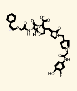 O=C(C[n+]1ccc(CN2CCC(=CC3=C(C(=O)[O-])N4C(=O)[C@@H](NC(=O)CS/C=C\c5ccccc5)[C@H]4SC3)C2=O)cc1)Nc1ccc(O)c(F)c1